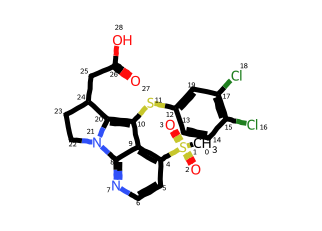 CS(=O)(=O)c1ccnc2c1c(Sc1ccc(Cl)c(Cl)c1)c1n2CCC1CC(=O)O